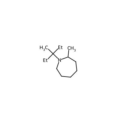 CCC(C)(CC)N1CCCCCC1C